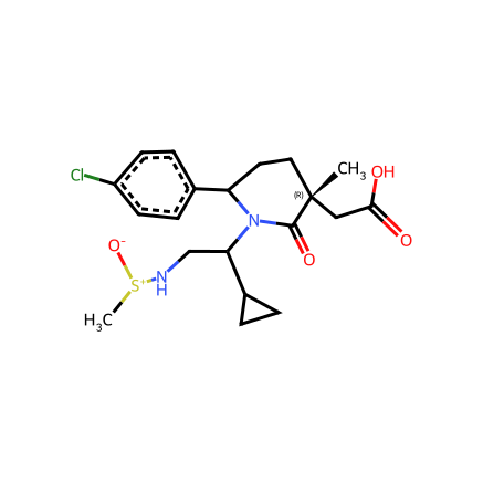 C[S+]([O-])NCC(C1CC1)N1C(=O)[C@@](C)(CC(=O)O)CCC1c1ccc(Cl)cc1